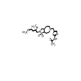 C=N/C(=C\C=N/C)CN1CC2CCN(Cc3cnc(NC(C)=O)s3)CCC2S1(=O)=O